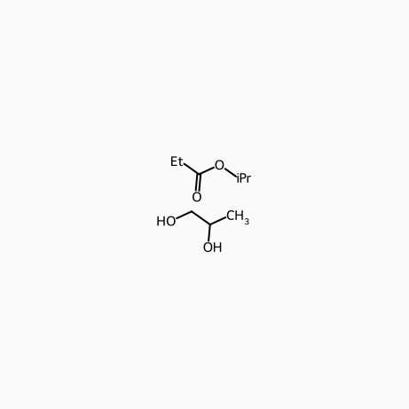 CC(O)CO.CCC(=O)OC(C)C